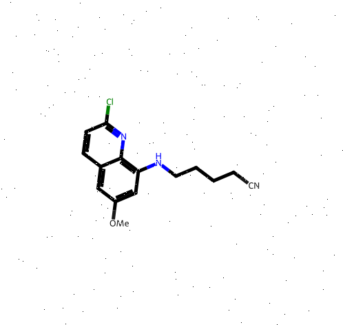 COc1cc(NCCCCC#N)c2nc(Cl)ccc2c1